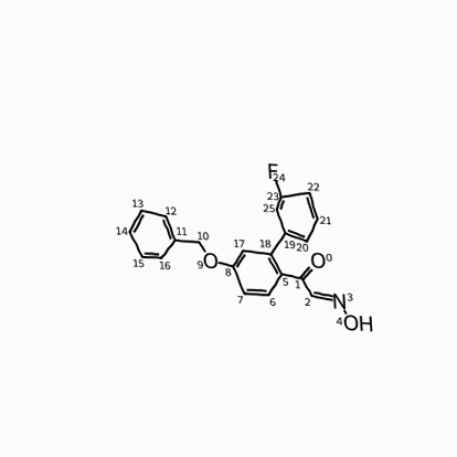 O=C(/C=N/O)c1ccc(OCc2ccccc2)cc1-c1cccc(F)c1